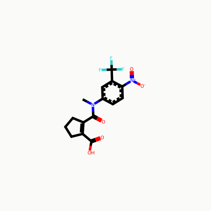 CN(C(=O)C1=C(C(=O)O)CCC1)c1ccc([N+](=O)[O-])c(C(F)(F)F)c1